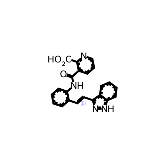 O=C(Nc1ccccc1/C=C/c1n[nH]c2ccccc12)c1cccnc1C(=O)O